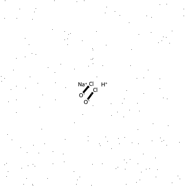 [H+].[Na+].[O-]Cl.[O-]Cl